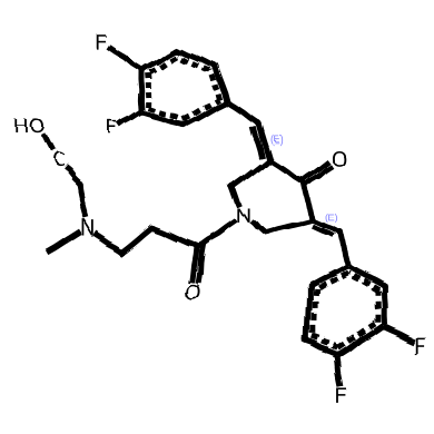 CN(CCO)CCC(=O)N1C/C(=C\c2ccc(F)c(F)c2)C(=O)/C(=C/c2ccc(F)c(F)c2)C1